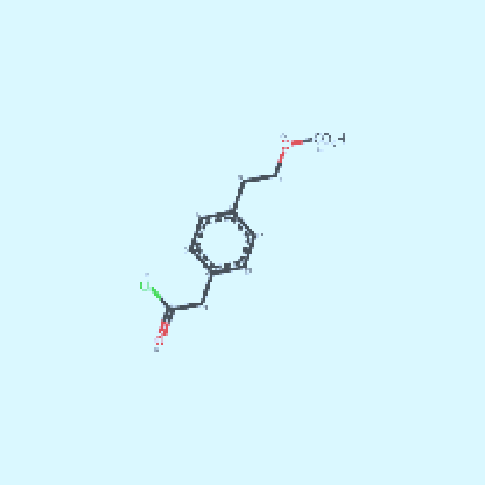 O=C(Cl)Cc1ccc(CCOC(=O)O)cc1